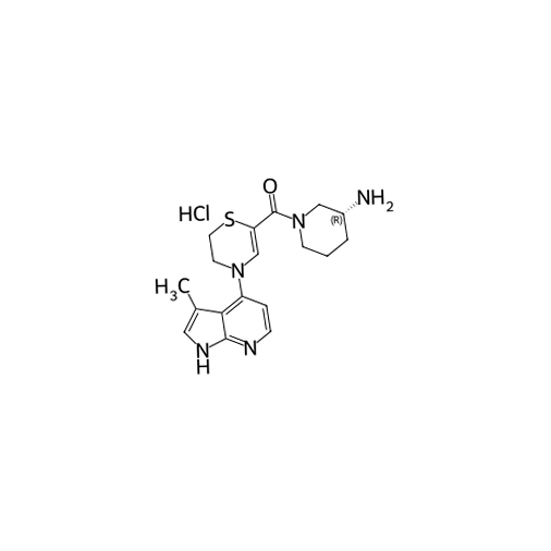 Cc1c[nH]c2nccc(N3C=C(C(=O)N4CCC[C@@H](N)C4)SCC3)c12.Cl